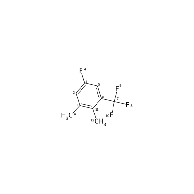 Cc1cc(F)cc(C(F)(F)F)c1C